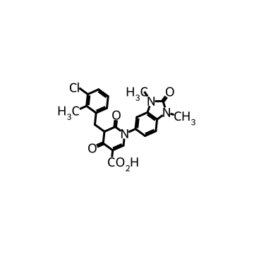 Cc1c(Cl)cccc1CC1C(=O)C(C(=O)O)=CN(c2ccc3c(c2)n(C)c(=O)n3C)C1=O